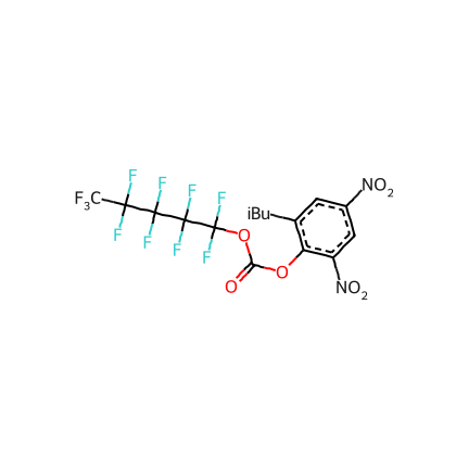 CCC(C)c1cc([N+](=O)[O-])cc([N+](=O)[O-])c1OC(=O)OC(F)(F)C(F)(F)C(F)(F)C(F)(F)C(F)(F)F